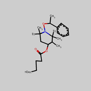 CCCCCCCCCCCCCC(=O)OC1CC(C)(CC)N(OC(C)c2ccccc2)C(C)(CC)C1C